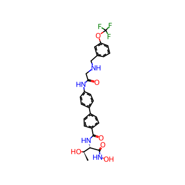 C[C@@H](O)[C@H](NC(=O)c1ccc(-c2ccc(NC(=O)CNCc3cccc(OC(F)(F)F)c3)cc2)cc1)C(=O)NO